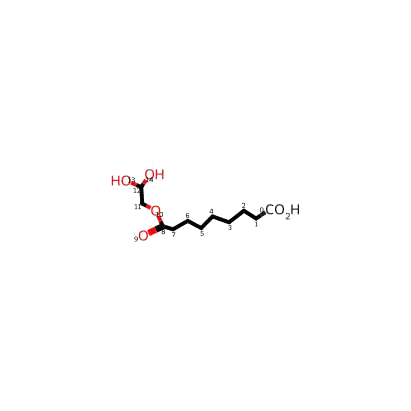 O=C(O)CCCCCCCC(=O)OCC(O)O